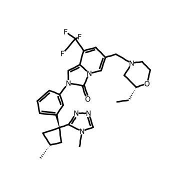 CC[C@@H]1CN(Cc2cc(C(F)(F)F)c3cn(-c4cccc([C@]5(c6nncn6C)C[C@@H](C)C5)c4)c(=O)n3c2)CCO1